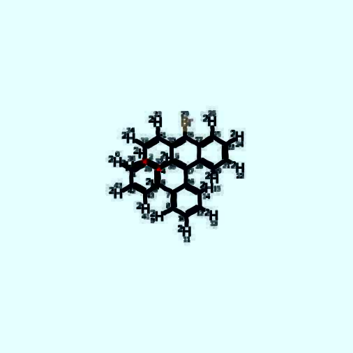 [2H]c1c([2H])c([2H])c(-c2c([2H])c([2H])c([2H])c([2H])c2-c2c3c([2H])c([2H])c([2H])c([2H])c3c(Br)c3c([2H])c([2H])c([2H])c([2H])c23)c([2H])c1[2H]